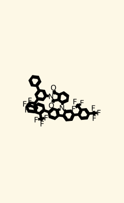 O=C1c2cccc(-n3c4cc(-c5ccc(C(F)(F)F)cc5C(F)(F)F)ccc4c4ccc(-c5ccc(C(F)(F)F)cc5C(F)(F)F)cc43)c2C(=O)N1c1cc(-c2ccccc2)cc(-c2ccccc2)c1